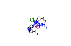 CCc1nc(C(N)=O)c(Nc2ccc3cnn(C)c3c2)nc1Cl